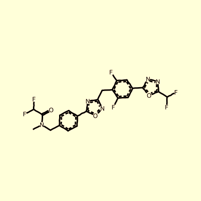 CN(Cc1ccc(-c2nc(Cc3c(F)cc(-c4nnc(C(F)F)o4)cc3F)no2)cc1)C(=O)C(F)F